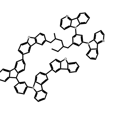 CCC(Cc1cc(-n2c3ccccc3c3ncccc32)cc(-n2c3ccccc3c3ncccc32)c1)CC(C)Cc1ccc2oc3ccc(-c4ccc5c(c4)-c4ccccc4C5c4cccc(-n5c6ccccc6c6cc(-c7ccc8oc9ccccc9c8c7)ccc65)c4)cc3c2c1